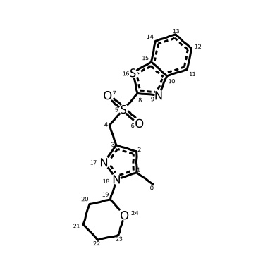 Cc1cc(CS(=O)(=O)c2nc3ccccc3s2)nn1C1CCCCO1